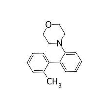 Cc1ccccc1-c1ccccc1N1CCOCC1